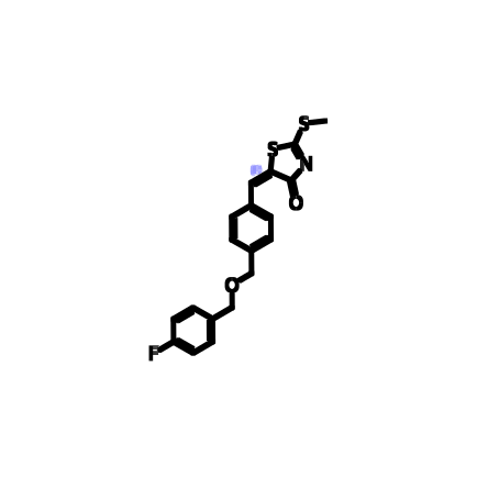 CSC1=NC(=O)/C(=C\c2ccc(COCc3ccc(F)cc3)cc2)S1